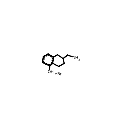 Br.NCC1CCc2c(O)cccc2C1